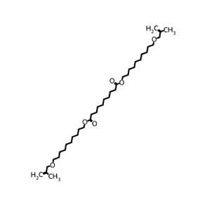 C=C(C)COCCCCCCCCCCOC(=O)CCCCCCCCC(=O)OCCCCCCCCCCOCC(=C)C